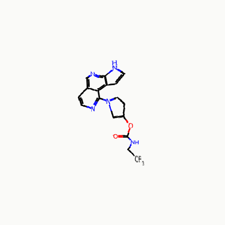 O=C(NCC(F)(F)F)OC1CCN(c2nccc3cnc4[nH]ccc4c23)C1